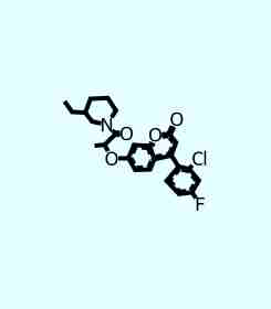 CCC1CCCN(C(=O)C(C)Oc2ccc3c(-c4ccc(F)cc4Cl)cc(=O)oc3c2)C1